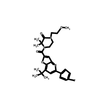 COCCN1CCN(C(=O)c2cc3nc(-c4ccc(F)cc4)cc(C(C)(C)C)c3o2)C(C)(C)C1=O